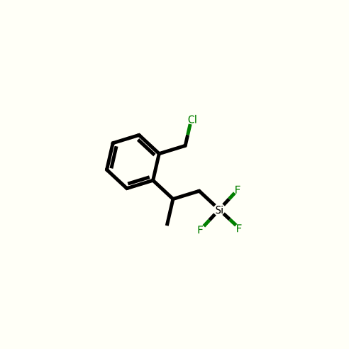 CC(C[Si](F)(F)F)c1ccccc1CCl